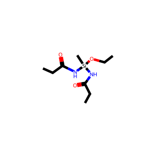 CCO[Si](C)(NC(=O)CC)NC(=O)CC